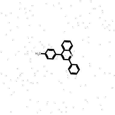 Cc1ccc(-c2cc(-c3ccccc3)nc3ccccc23)cc1